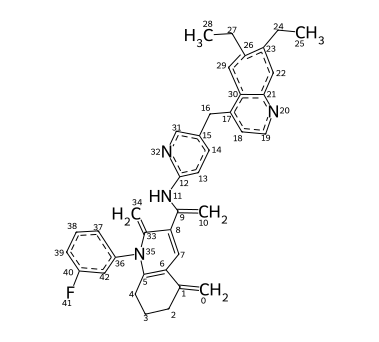 C=C1CCCC2=C1C=C(C(=C)Nc1ccc(Cc3ccnc4cc(CC)c(CC)cc34)cn1)C(=C)N2c1cccc(F)c1